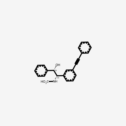 O=C(O)N[C@@H](c1cccc(C#Cc2ccccc2)c1)[C@@H](O)c1ccccc1